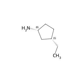 CC[C@H]1CC[C@@H](N)C1